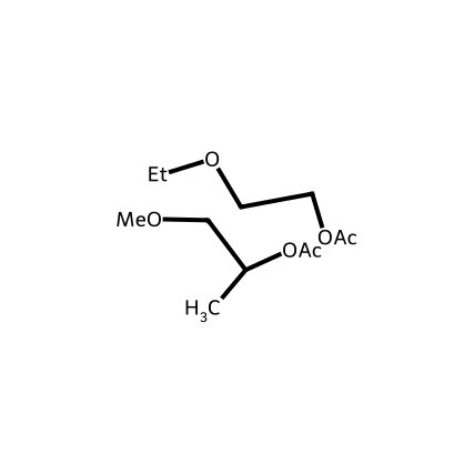 CCOCCOC(C)=O.COCC(C)OC(C)=O